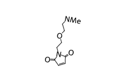 CNCCOCCN1C(=O)C=CC1=O